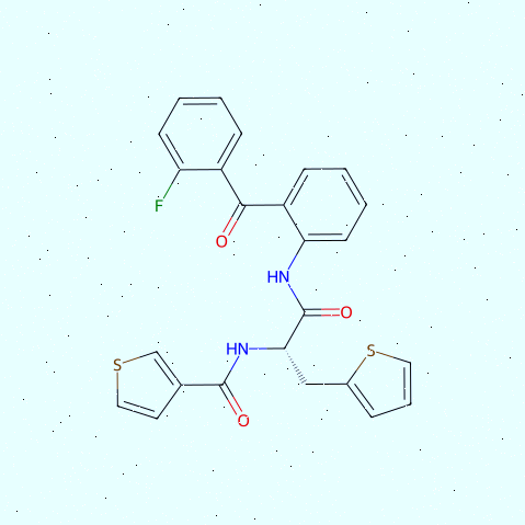 O=C(N[C@@H](Cc1cccs1)C(=O)Nc1ccccc1C(=O)c1ccccc1F)c1ccsc1